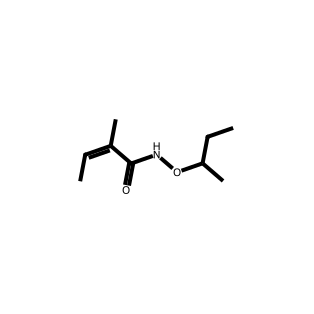 CC=C(C)C(=O)NOC(C)CC